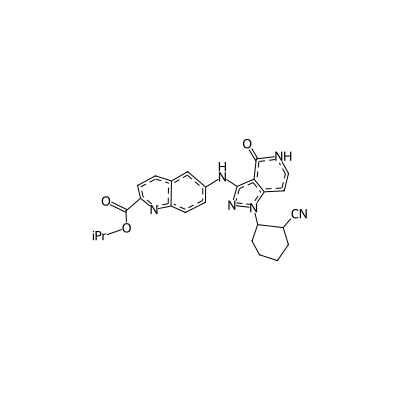 CC(C)OC(=O)c1ccc2cc(Nc3nn(C4CCCCC4C#N)c4cc[nH]c(=O)c34)ccc2n1